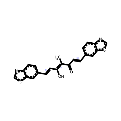 C/C(C(=O)/C=C/c1ccc2ncsc2c1)=C(O)\C=C\c1ccc2ncsc2c1